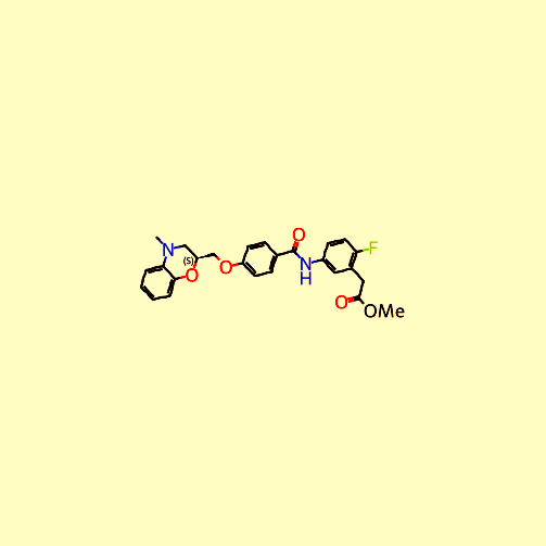 COC(=O)Cc1cc(NC(=O)c2ccc(OC[C@@H]3CN(C)c4ccccc4O3)cc2)ccc1F